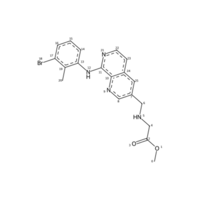 COC(=O)CNCc1cnc2c(Nc3cccc(Br)c3C)nccc2c1